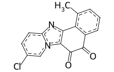 Cc1cccc2c1-c1nc3ccc(Cl)cn3c1C(=O)C2=O